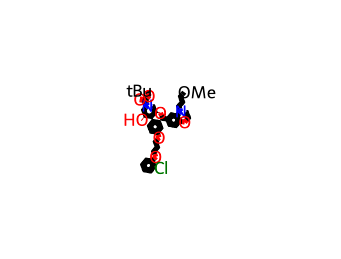 COCCCN1CCOc2ccc(CO[C@H]3CN(C(=O)OC(C)(C)C)C[C@@H](O)[C@@H]3c3ccc(OCCCOc4ccccc4Cl)cc3)cc21